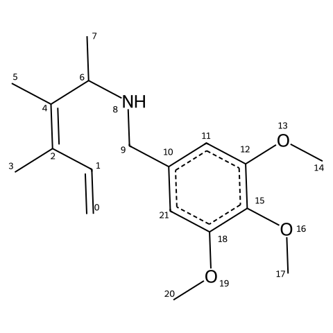 C=CC(C)=C(C)C(C)NCc1cc(OC)c(OC)c(OC)c1